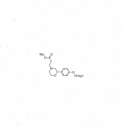 CCCCCCCOc1ccc(C2CN(CCC(=O)OC(C)(C)C)CCO2)cc1